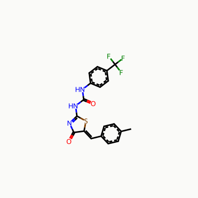 Cc1ccc(/C=C2\SC(NC(=O)Nc3ccc(C(F)(F)F)cc3)=NC2=O)cc1